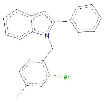 Cc1ccc(Cn2c(-c3ccccc3)cc3ccccc32)c(Br)c1